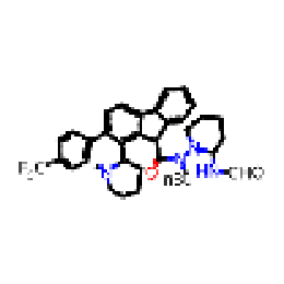 CCCCN(C(=O)C1c2ccccc2-c2ccc(-c3ccc(C(F)(F)F)cc3)c(C3CCCCN3C)c21)N1CCCCC1NC=O